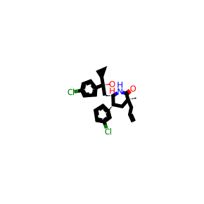 C=CC[C@@]1(C)C[C@H](c2cccc(Cl)c2)[C@H](C[C@@](O)(c2ccc(Cl)cc2)C2CC2)NC1=O